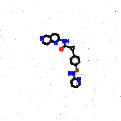 O=C(Nc1ccc2cnccc2n1)C1CC1c1ccc(SNc2ccccn2)cc1